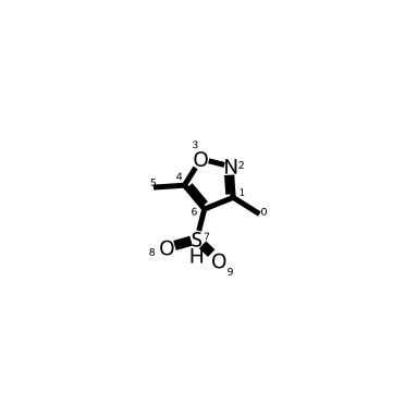 Cc1noc(C)c1[SH](=O)=O